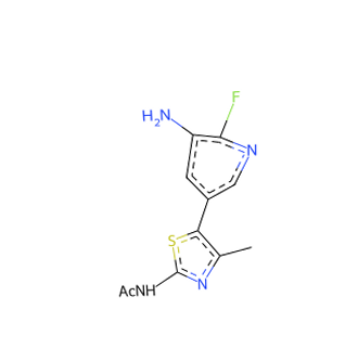 CC(=O)Nc1nc(C)c(-c2cnc(F)c(N)c2)s1